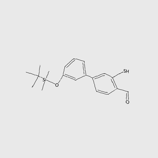 CC(C)(C)[Si](C)(C)Oc1cccc(-c2ccc(C=O)c(S)c2)c1